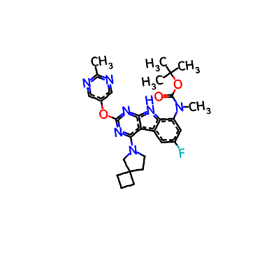 Cc1ncc(Oc2nc(N3CCC4(CCC4)C3)c3c(n2)[nH]c2c(N(C)C(=O)OC(C)(C)C)cc(F)cc23)cn1